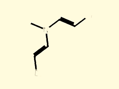 CCC=CN(C)C=CCC